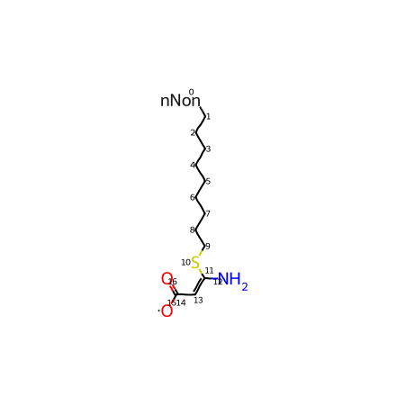 CCCCCCCCCCCCCCCCCCS/C(N)=C\C([O])=O